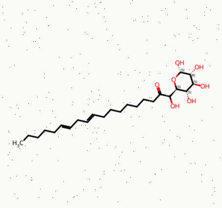 CCCCCC=CCC=CCCCCCCCC(=O)C(O)[C@H]1O[C@H](O)[C@H](O)[C@@H](O)[C@@H]1O